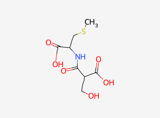 CSCC(NC(=O)C(CO)C(=O)O)C(=O)O